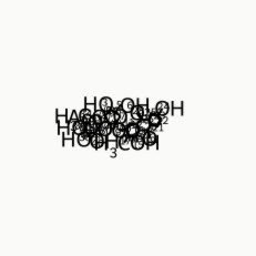 CC(=O)O[C@H]1[C@H](O)[C@@H](CO)O[C@@H](Oc2cc3c(c(O)c2C)C(=O)c2ccc(O)cc2C3=O)[C@@H]1O[C@@H]1O[C@H](C)[C@@H](O)[C@H](O)[C@@H]1O